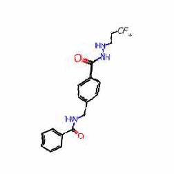 O=C(NCc1ccc(C(=O)NNCCC(F)(F)F)cc1)c1ccccc1